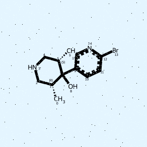 C[C@@H]1CNC[C@H](C)C1(O)c1ccc(Br)nc1